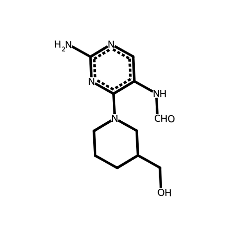 Nc1ncc(NC=O)c(N2CCCC(CO)C2)n1